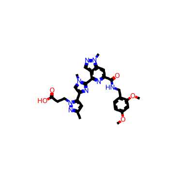 COc1ccc(CNC(=O)c2cc3c(cnn3C)c(-c3nc(-c4cc(C)nn4CCC(=O)O)cn3C)n2)c(OC)c1